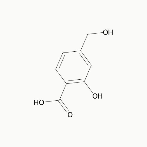 O=C(O)c1ccc(CO)cc1O